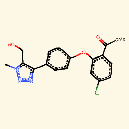 COC(=O)c1ccc(Cl)cc1Oc1ccc(-c2nnn(C)c2CO)cc1